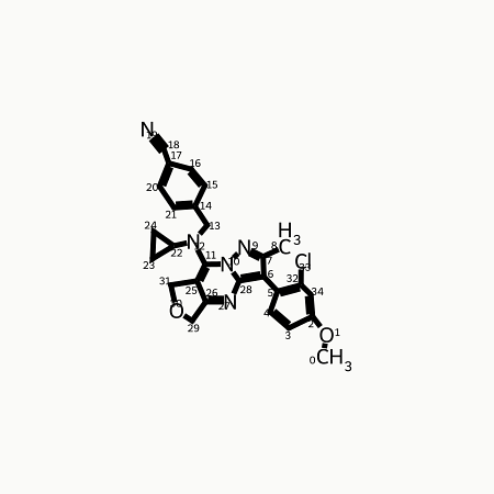 COc1ccc(-c2c(C)nn3c(N(Cc4ccc(C#N)cc4)C4CC4)c4c(nc23)COC4)c(Cl)c1